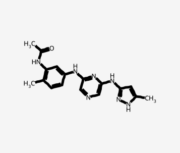 CC(=O)Nc1cc(Nc2cncc(Nc3cc(C)[nH]n3)n2)ccc1C